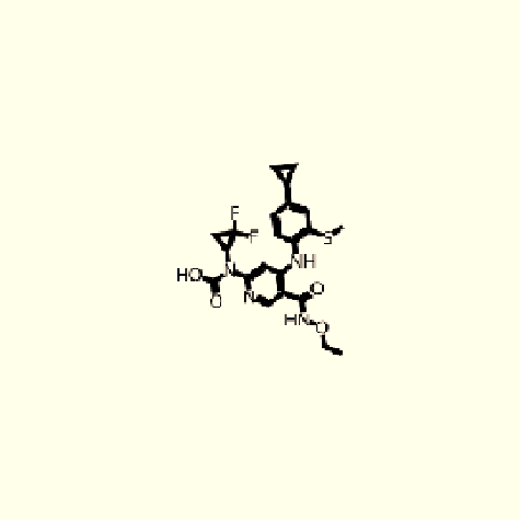 CCONC(=O)c1cnc(N(C(=O)O)C2CC2(F)F)cc1Nc1ccc(C2CC2)cc1SC